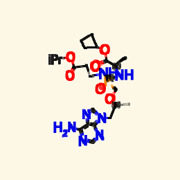 CC(C)OC(=O)CCN[P@](=O)(CO[C@H](C)Cn1cnc2c(N)ncnc21)N[C@H](C)C(=O)OC1CCC1